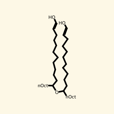 CCCCCCCCC(CCCCCCCCCC=CO)OC(CCCCCCCC)CCCCCCCCCC=CO